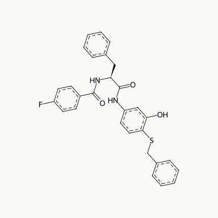 O=C(N[C@@H](Cc1ccccc1)C(=O)Nc1ccc(SCc2ccccc2)c(O)c1)c1ccc(F)cc1